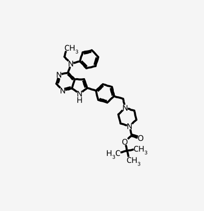 CCN(c1ccccc1)c1ncnc2[nH]c(-c3ccc(CN4CCN(C(=O)OC(C)(C)C)CC4)cc3)cc12